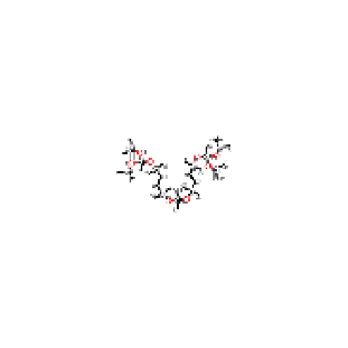 C[SiH](C)O[Si](C)(O[SiH](C)C)O[Si](C)(C)CC[Si](C)(C)O[Si](C)(C)O[Si](C)(C)CC[Si](C)(C)O[Si](C)(O[SiH](C)C)O[SiH](C)C